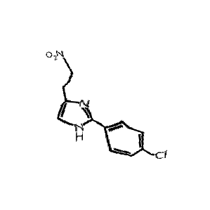 O=[N+]([O-])CCc1c[nH]c(-c2ccc(Cl)cc2)n1